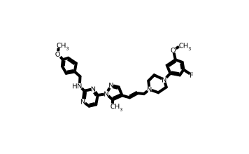 COc1ccc(CNc2nccc(-n3ncc(/C=C/CN4CCN(c5cc(F)cc(OC)c5)CC4)c3C)n2)cc1